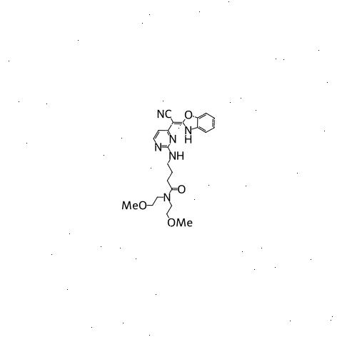 COCCN(CCOC)C(=O)CCCNc1nccc(C(C#N)=C2Nc3ccccc3O2)n1